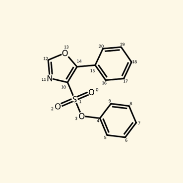 O=S(=O)(Oc1ccccc1)c1ncoc1-c1ccccc1